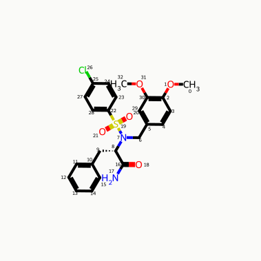 COc1ccc(CN([C@@H](Cc2ccccc2)C(N)=O)S(=O)(=O)c2ccc(Cl)cc2)cc1OC